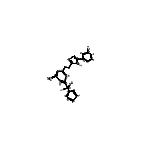 Nc1nc(SCc2ncc(-c3cccc(Cl)c3)o2)nc(C(F)(F)c2ccccc2)n1